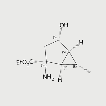 CCOC(=O)[C@]1(N)C[C@H](O)[C@H]2[C@H](C)[C@H]21